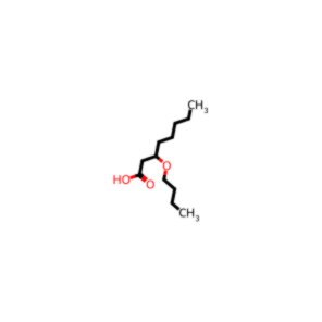 CCCCCC(CC(=O)O)OCCCC